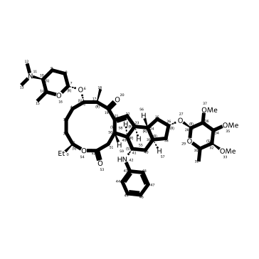 CC[C@H]1CCC[C@H](O[C@H]2CC[C@H](N(C)C)C(C)O2)[C@@H](C)C(=O)C2=C[C@H]3[C@@H]4C[C@H](O[C@@H]5OC(C)[C@H](OC)C(OC)C5OC)C[C@H]4C[C@H](Nc4ccccc4)[C@H]3[C@@H]2CC(=O)O1